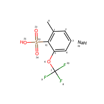 Cc1cccc(OC(F)(F)F)c1S(=O)(=O)O.[NaH]